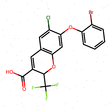 O=C(O)C1=Cc2cc(Cl)c(Oc3ccccc3Br)cc2OC1C(F)(F)F